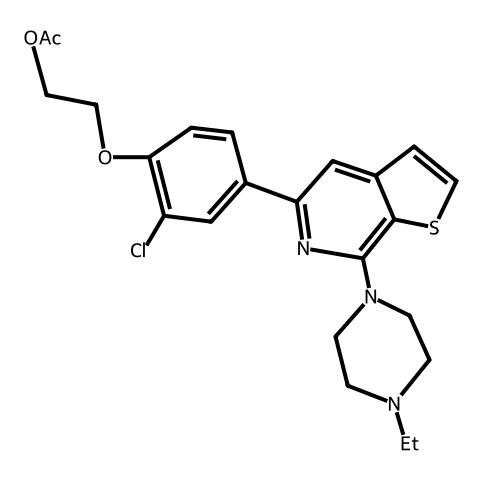 CCN1CCN(c2nc(-c3ccc(OCCOC(C)=O)c(Cl)c3)cc3ccsc23)CC1